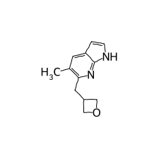 Cc1cc2cc[nH]c2nc1CC1COC1